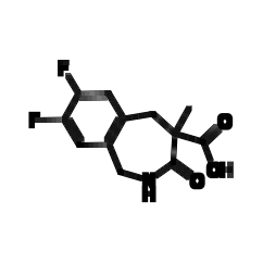 CC1(C(=O)O)Cc2cc(F)c(F)cc2CNC1=O